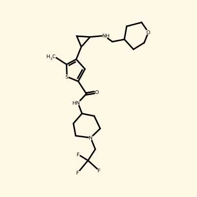 Cc1sc(C(=O)NC2CCN(CC(F)(F)F)CC2)cc1C1CC1NCC1CCOCC1